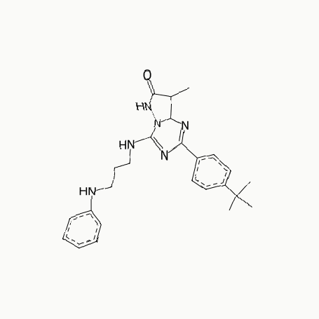 CC1C(=O)NN2C(NCCCNc3ccccc3)=NC(c3ccc(C(C)(C)C)cc3)=NC12